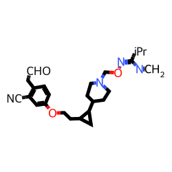 C=N/C(=N\OCN1CCC(C2CC2CCOc2ccc(CC=O)c(C#N)c2)CC1)C(C)C